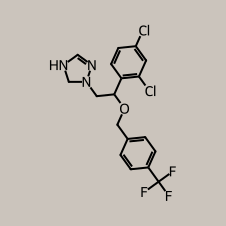 FC(F)(F)c1ccc(COC(CN2CNC=N2)c2ccc(Cl)cc2Cl)cc1